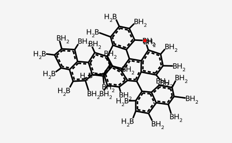 Bc1c(B)c(B)c(-c2c3c(B)c(B)c(B)c(B)c3c(-c3c(B)c(B)c(B)c4c(B)c(B)c(B)c(B)c34)c3c(B)c(B)c(B)c(B)c23)c(-c2c(B)c(B)c3c(B)c(B)c4c(B)c(B)c(B)c(B)c4c3c2B)c1B